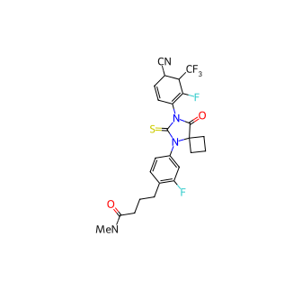 CNC(=O)CCCc1ccc(N2C(=S)N(C3=C(F)C(C(F)(F)F)C(C#N)C=C3)C(=O)C23CCC3)cc1F